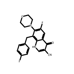 N#Cc1c[nH]c2c(Cc3ccc(F)cc3)c(N3CCOCC3)c(F)cc2c1=O